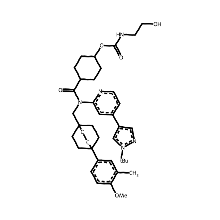 COc1ccc(C23CCC(CN(C(=O)C4CCC(OC(=O)NCCO)CC4)c4cc(-c5cnn(C(C)(C)C)c5)ccn4)(CC2)CC3)cc1C